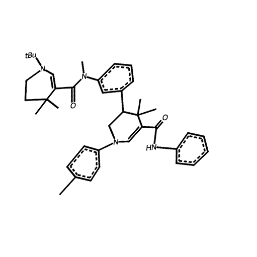 Cc1ccc(N2C=C(C(=O)Nc3ccccc3)C(C)(C)C(c3cccc(N(C)C(=O)C4=CN(C(C)(C)C)CCC4(C)C)c3)C2)cc1